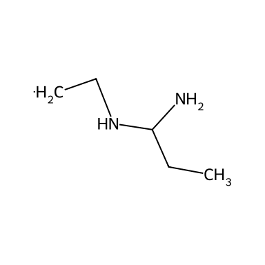 [CH2]CNC(N)CC